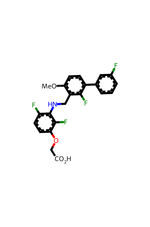 COc1ccc(-c2cccc(F)c2)c(F)c1CNc1c(F)ccc(OCC(=O)O)c1F